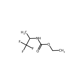 CCOC(=O)NC(C)C(F)(F)F